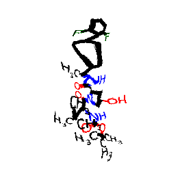 C[C@H](NC(=O)[C@@H]1C[C@@H](O)CN1C(=O)[C@@H](NC(=O)OC(C)(C)C)C(C)(C)C)c1ccc(-c2c(F)cccc2F)cc1